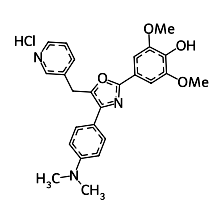 COc1cc(-c2nc(-c3ccc(N(C)C)cc3)c(Cc3cccnc3)o2)cc(OC)c1O.Cl